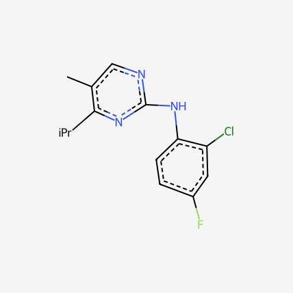 Cc1cnc(Nc2ccc(F)cc2Cl)nc1C(C)C